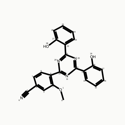 COc1cc(C#N)ccc1-c1nc(-c2ccccc2O)nc(-c2ccccc2O)n1